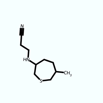 CC1CCC(NCCC#N)CSC1